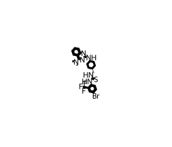 CN(C)c1nc(N[C@H]2CC[C@@H](CNC(=S)Nc3ccc(Br)cc3C(F)(F)F)CC2)nc2ccccc12